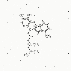 CN(C)C[C@H](N)CCCOc1ccc(Cl)c(Cl)c1Cn1cnc2c(N)ncnc21